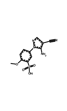 COc1ccc(-n2ncc(C#N)c2N)cc1S(=O)(=O)O